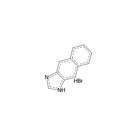 Br.c1ccc2cc3[nH]cnc3cc2c1